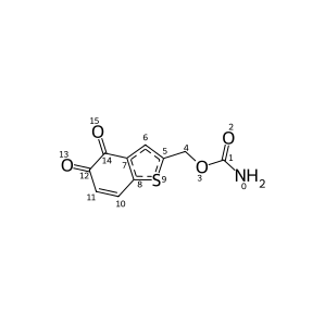 NC(=O)OCc1cc2c(s1)C=CC(=O)C2=O